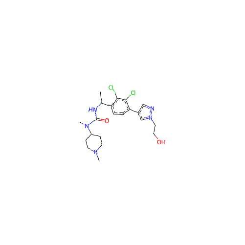 CC(NC(=O)N(C)C1CCN(C)CC1)c1ccc(-c2cnn(CCO)c2)c(Cl)c1Cl